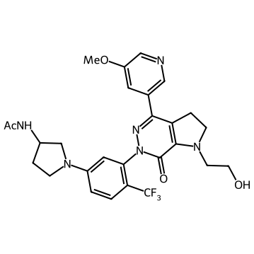 COc1cncc(-c2nn(-c3cc(N4CCC(NC(C)=O)C4)ccc3C(F)(F)F)c(=O)c3c2CCN3CCO)c1